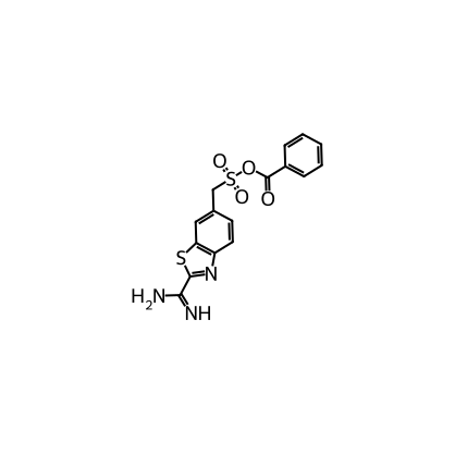 N=C(N)c1nc2ccc(CS(=O)(=O)OC(=O)c3ccccc3)cc2s1